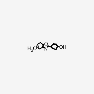 CN1CCc2oc(-c3ccc(O)cc3)nc2C1